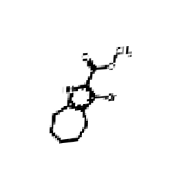 COC(=O)c1[nH]c2c(c1Br)CCCCC2